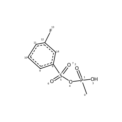 CP(=O)(O)OS(=O)(=O)c1cccc(F)c1